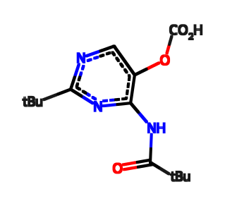 CC(C)(C)C(=O)Nc1nc(C(C)(C)C)ncc1OC(=O)O